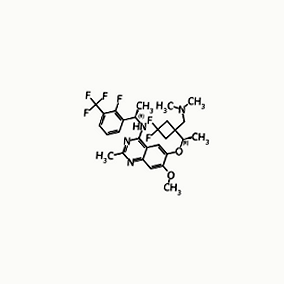 COc1cc2nc(C)nc(N[C@H](C)c3cccc(C(F)(F)F)c3F)c2cc1O[C@H](C)C1(CN(C)C)CC(F)(F)C1